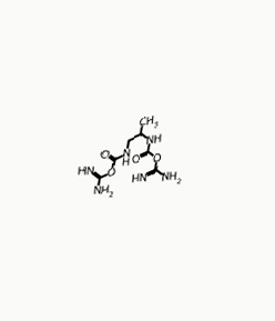 CC(CNC(=O)OC(=N)N)NC(=O)OC(=N)N